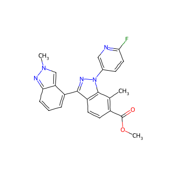 COC(=O)c1ccc2c(-c3cccc4nn(C)cc34)nn(-c3ccc(F)nc3)c2c1C